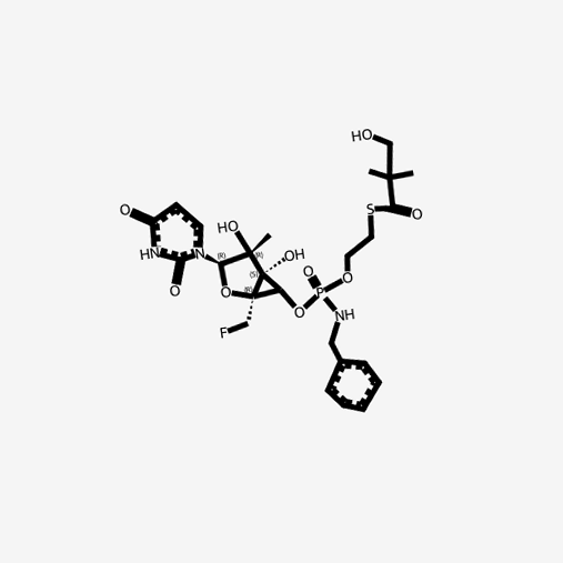 CC(C)(CO)C(=O)SCCOP(=O)(NCc1ccccc1)OC1[C@]2(O)[C@@](C)(O)[C@H](n3ccc(=O)[nH]c3=O)O[C@]12CF